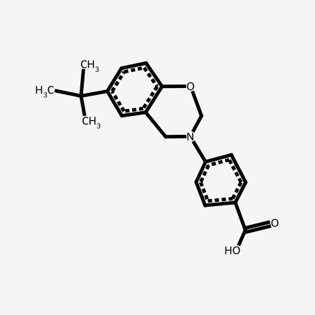 CC(C)(C)c1ccc2c(c1)CN(c1ccc(C(=O)O)cc1)CO2